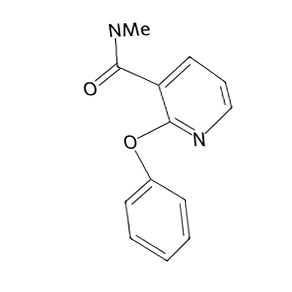 CNC(=O)c1cccnc1Oc1ccccc1